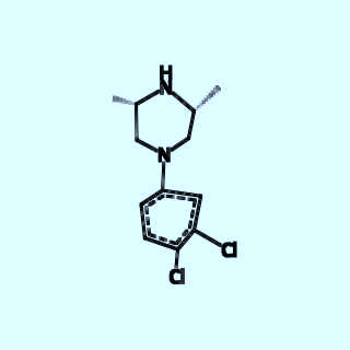 C[C@@H]1CN(c2ccc(Cl)c(Cl)c2)C[C@H](C)N1